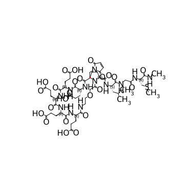 CNC(=O)[C@H](CSC)NC(=O)CNC(=O)[C@H](CC(C)C)NC(=O)[C@@H]1CCCN1C(=O)COCCNC(=O)[C@@H](CCC(=O)O)NC(=O)[C@@H](CCC(=O)O)NC(=O)[C@@H](CCC(=O)O)NC(=O)[C@@H](CCC(=O)O)NC(=O)[C@@H](CCC(=O)O)NC(=O)CCN1C(=O)C=CC1=O